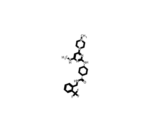 CNc1cc(N2CCN(C)CC2)nc(N[C@H]2CC[C@@H](C(=O)NCc3ccccc3C(F)(F)F)CC2)n1